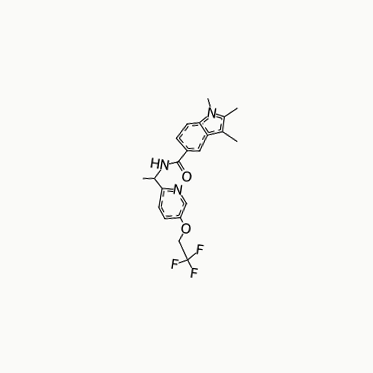 Cc1c(C)n(C)c2ccc(C(=O)NC(C)c3ccc(OCC(F)(F)F)cn3)cc12